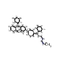 C/C=C\C=C/CN(C1=CCC=C(c2ccc(N(C3=CC=CCC3C)c3ccccc3)cc2)C=C1)c1ccccc1